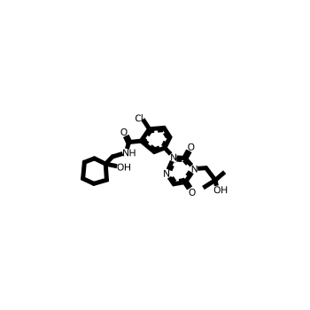 CC(C)(O)Cn1c(=O)cnn(-c2ccc(Cl)c(C(=O)NCC3(O)CCCCC3)c2)c1=O